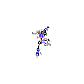 COC(=O)N[C@H](C(=O)N[C@@H](Cc1ccc(C#Cc2ccc(N3CC4COCC(C3)N4C)nc2)cc1)[C@@H](O)CN(Cc1c(F)cc(-c2ccn(C3CC3)n2)cc1F)NC(=O)[C@@H](NC(=O)OC)C(C)(C)C(F)(F)F)C(C)(C)C(F)(F)F